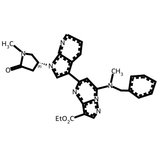 CCOC(=O)c1cnn2c(N(C)Cc3ccccc3)cc(-c3cn([C@@H]4CC(=O)N(C)C4)c4ncccc34)nc12